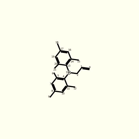 C=CCB(c1c(C)cc(C)cc1C)c1c(C)cc(C)cc1C